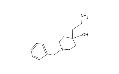 NCCC1(O)CCN(Cc2ccccc2)CC1